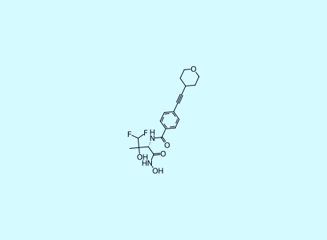 CC(O)(C(F)F)[C@H](NC(=O)c1ccc(C#CC2CCOCC2)cc1)C(=O)NO